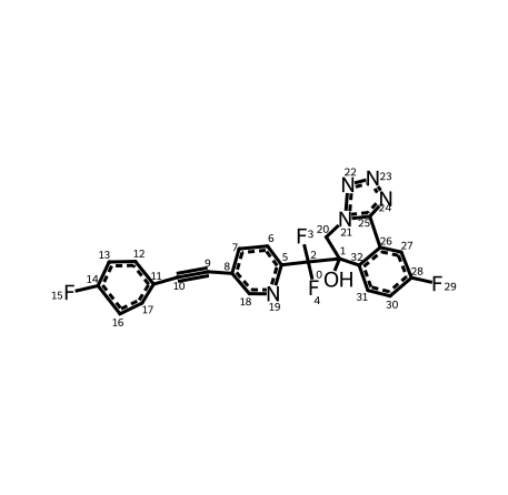 OC1(C(F)(F)c2ccc(C#Cc3ccc(F)cc3)cn2)Cn2nnnc2-c2cc(F)ccc21